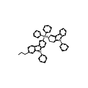 CCCc1ccc2c3cc([PH](c4ccccc4)(c4ccccc4)C4C=c5c(n(-c6ccccc6)c6ccccc56)=CC4)ccc3n(-c3ccccc3)c2c1